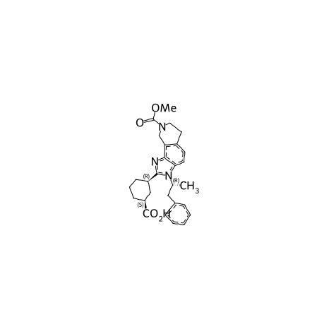 COC(=O)N1CCc2ccc3c(nc([C@@H]4CCC[C@H](C(=O)O)C4)n3[C@H](C)Cc3ccccc3)c2C1